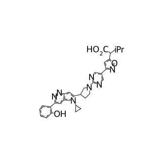 CC(C)C(C(=O)O)c1cc(-c2cnc(N3CCC(c4cc5nnc(-c6ccccc6O)cc5n4C4CC4)C3)nc2)no1